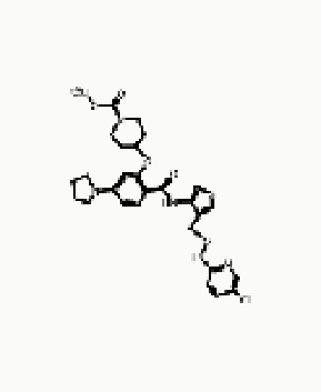 CC(C)(C)OC(=O)N1CCC(Oc2cc(N3CCCC3)ccc2C(=O)Nc2cscc2CONc2ccc(Cl)cn2)CC1